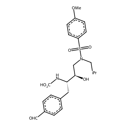 COc1ccc(S(=O)(=O)N(CC(C)C)C[C@@H](O)[C@H](Cc2ccc(C=O)cc2)NC(=O)O)cc1